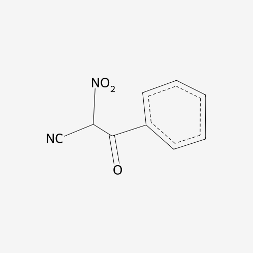 N#CC(C(=O)c1ccccc1)[N+](=O)[O-]